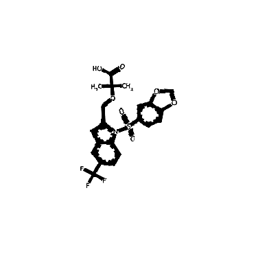 CC(C)(OCc1cc2cc(C(F)(F)F)ccc2n1S(=O)(=O)c1ccc2c(c1)OCO2)C(=O)O